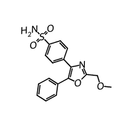 COCc1nc(-c2ccc(S(N)(=O)=O)cc2)c(-c2ccccc2)o1